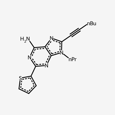 CCCCC#Cc1nc2c(N)nc(-c3cccs3)nc2n1CCC